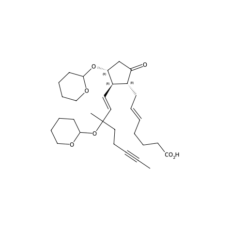 CC#CCCC(C)(C=C[C@H]1[C@H](OC2CCCCO2)CC(=O)[C@@H]1CC=CCCCC(=O)O)OC1CCCCO1